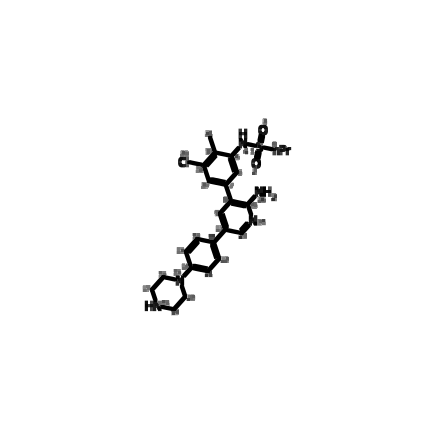 CCCS(=O)(=O)Nc1cc(-c2cc(-c3ccc(N4CCNCC4)cc3)cnc2N)cc(Cl)c1C